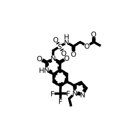 CCn1nccc1-c1cc2c(=O)n(CS(=O)(=O)NC(=O)COC(C)=O)c(=O)[nH]c2cc1C(F)(F)F